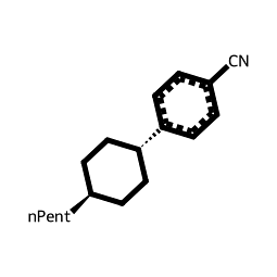 CCCCC[C@H]1CC[C@H](c2ccc(C#N)cc2)CC1